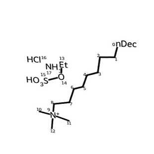 CCCCCCCCCCCCCCCCCC[N+](C)(C)C.CCOS(=O)(=O)O.Cl.N